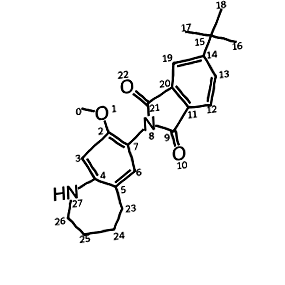 COc1cc2c(cc1N1C(=O)c3ccc(C(C)(C)C)cc3C1=O)CCCCN2